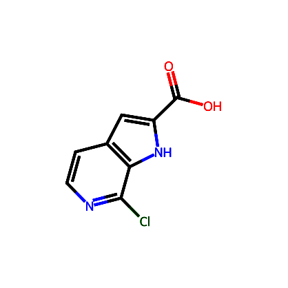 O=C(O)c1cc2ccnc(Cl)c2[nH]1